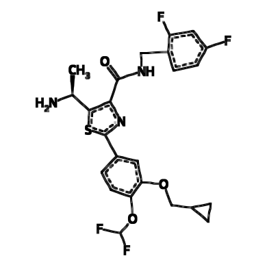 C[C@H](N)c1sc(-c2ccc(OC(F)F)c(OCC3CC3)c2)nc1C(=O)NCc1ccc(F)cc1F